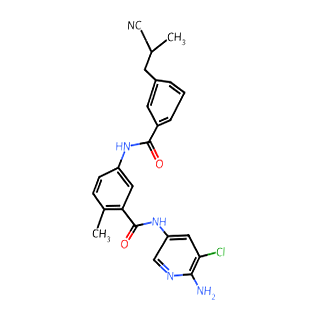 Cc1ccc(NC(=O)c2cccc(CC(C)C#N)c2)cc1C(=O)Nc1cnc(N)c(Cl)c1